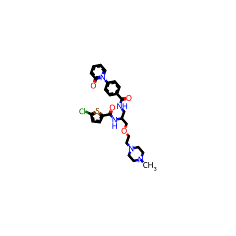 CN1CCN(CCOCC(CNC(=O)c2ccc(-n3ccccc3=O)cc2)NC(=O)c2ccc(Cl)s2)CC1